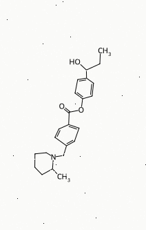 CCC(O)c1ccc(OC(=O)c2ccc(CN3CCCCC3C)cc2)cc1